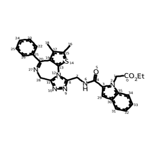 CCOC(=O)Cn1c(C(=O)NCc2nnc3n2-c2sc(C)c(C)c2C(c2ccccc2)=NC3)cc2ccccc21